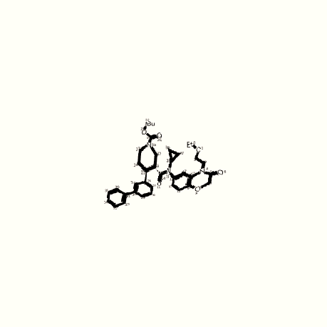 CCOCCN1C(=O)COc2ccc(N(C(=O)[C@H]3CN(C(=O)OC(C)(C)C)CC[C@@H]3c3cccc(-c4ccccc4)c3)C3CC3)cc21